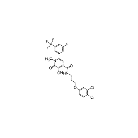 Cn1c(-c2cc(F)cc(C(F)(F)F)c2)cc(C(=O)NCCCOc2ccc(Cl)c(Cl)c2)c(O)c1=O